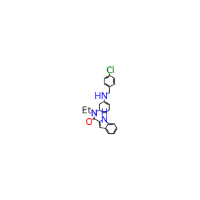 CCN(C(=O)c1cc2ccccc2[nH]1)C1CCC=C(NCc2ccc(Cl)cc2)C1